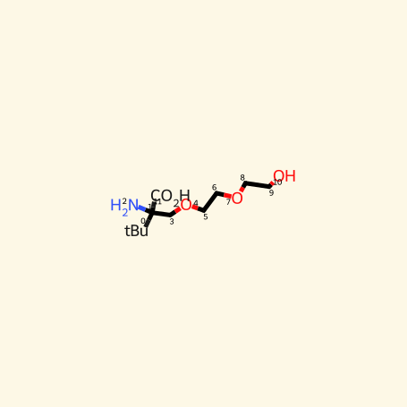 CC(C)(C)C(N)(COCCOCCO)C(=O)O